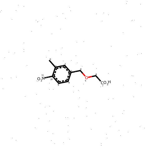 Cc1cc(COCC(=O)O)ccc1[N+](=O)[O-]